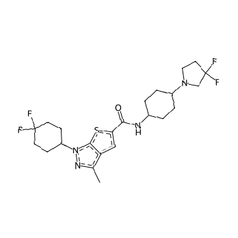 Cc1nn(C2CCC(F)(F)CC2)c2sc(C(=O)NC3CCC(N4CCC(F)(F)C4)CC3)cc12